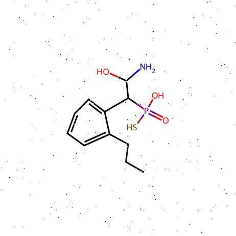 CCCc1ccccc1C(C(N)O)P(=O)(O)S